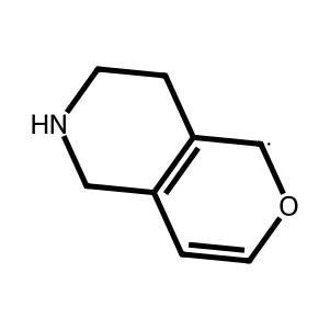 [CH]1OC=CC2=C1CCNC2